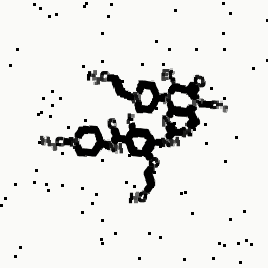 CC=CN1CCC(N2c3nc(Nc4cc(F)c(C(=O)NC5CCN(C)CC5)cc4OCCO)ncc3N(C)C(=O)[C@H]2CC)CC1